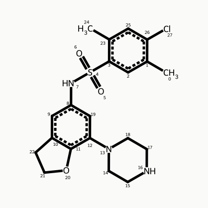 Cc1cc(S(=O)(=O)Nc2cc3c(c(N4CCNCC4)c2)OCC3)c(C)cc1Cl